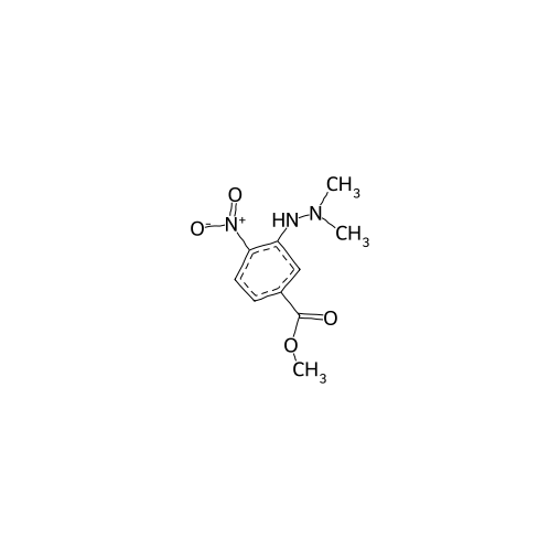 COC(=O)c1ccc([N+](=O)[O-])c(NN(C)C)c1